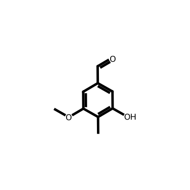 COc1cc(C=O)cc(O)c1C